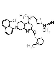 CN(C#N)C1CC(/C=[N+](/C)c2nc(OC[C@@H]3CCCN3C)nc3c2CCN(c2cccc4cccc(Cl)c24)C3)C1